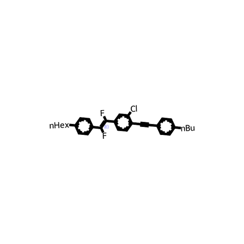 CCCCCCc1ccc(/C(F)=C(\F)c2ccc(C#Cc3ccc(CCCC)cc3)c(Cl)c2)cc1